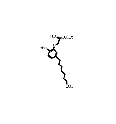 C=C(COc1cc(CCCCCCCC(=O)O)ccc1C(C)(C)C)C(=O)OCC